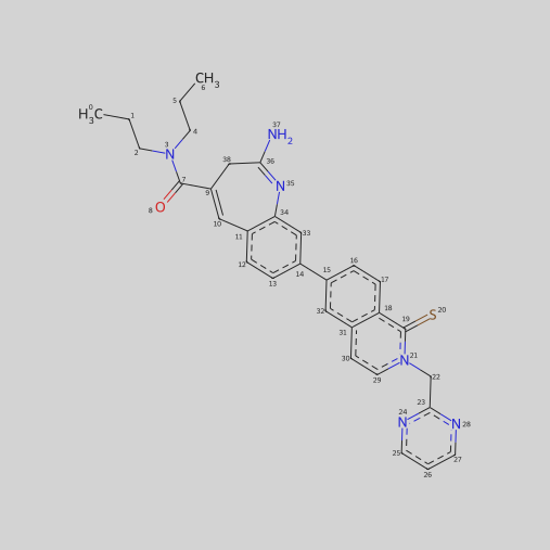 CCCN(CCC)C(=O)C1=Cc2ccc(-c3ccc4c(=S)n(Cc5ncccn5)ccc4c3)cc2N=C(N)C1